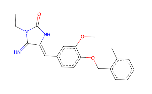 CCN1C(=N)C(=Cc2ccc(OCc3ccccc3C)c(OC)c2)NC1=O